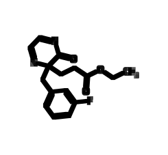 CCOC(=O)CCC1(Cc2cccc(F)c2)N=CC=NC1=O